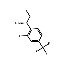 CC[C@H](N)c1ccc(C(F)(F)F)cc1F